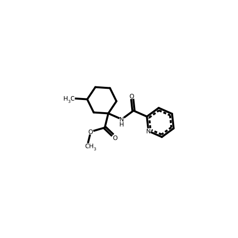 COC(=O)C1(NC(=O)c2ccccn2)CCCC(C)C1